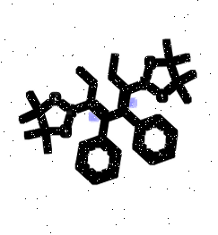 CC/C(B1OC(C)(C)C(C)(C)O1)=C(\C(=C(/CC)B1OC(C)(C)C(C)(C)O1)c1ccccc1)c1ccccc1